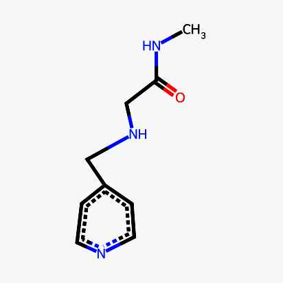 CNC(=O)CNCc1ccncc1